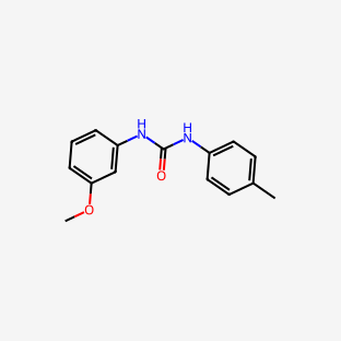 COc1cccc(NC(=O)Nc2ccc(C)cc2)c1